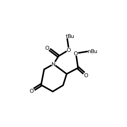 CCCCOC(=O)C1CCC(=O)CN1C(=O)OC(C)(C)C